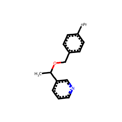 CCCc1ccc(COC(C)c2cccnc2)cc1